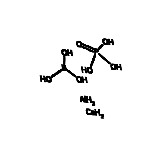 O=P(O)(O)O.OB(O)O.[AlH3].[CaH2]